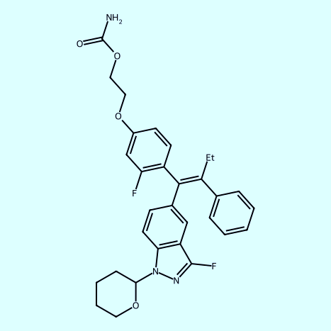 CCC(=C(c1ccc2c(c1)c(F)nn2C1CCCCO1)c1ccc(OCCOC(N)=O)cc1F)c1ccccc1